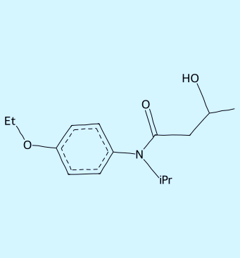 CCOc1ccc(N(C(=O)CC(C)O)C(C)C)cc1